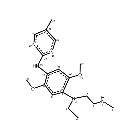 CCN(CCNC)c1cc(OC)c(Nc2ncc(C)cn2)cc1OC